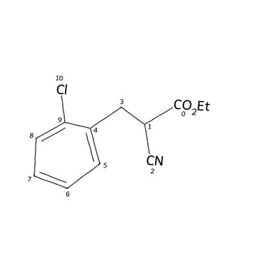 CCOC(=O)C(C#N)Cc1ccccc1Cl